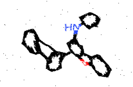 c1ccc(Nc2cc(-c3cccc4c3Cc3ccccc3-4)c3oc4ccccc4c3c2)cc1